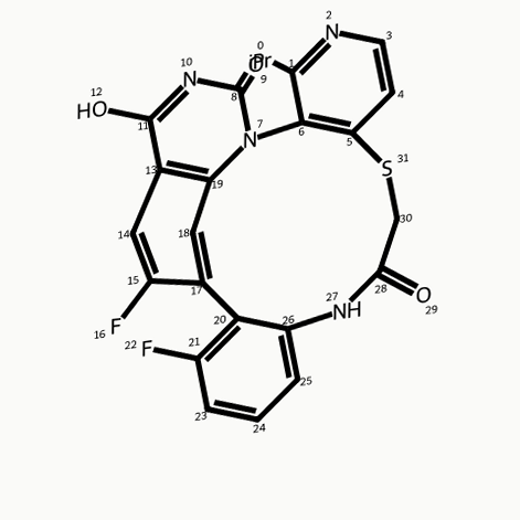 CC(C)c1nccc2c1-n1c(=O)nc(O)c3cc(F)c(cc31)-c1c(F)cccc1NC(=O)CS2